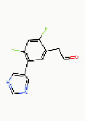 O=CCc1cc(-c2cncnc2)c(F)cc1F